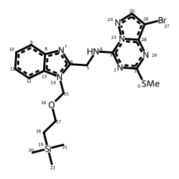 CSc1nc(NCc2nc3ccccc3n2COCC[Si](C)(C)C)n2ncc(Br)c2n1